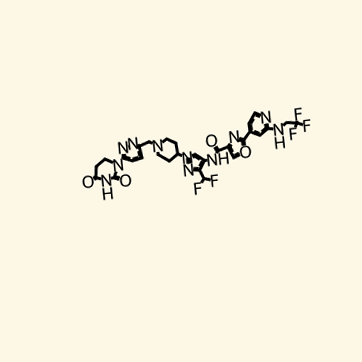 O=C1CCN(c2ccc(CN3CCC(n4cc(NC(=O)c5coc(-c6ccnc(NCC(F)(F)F)c6)n5)c(C(F)F)n4)CC3)nn2)C(=O)N1